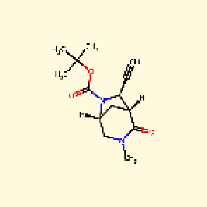 C#C[C@H]1[C@H]2C[C@H](CN(C)C2=O)N1C(=O)OC(C)(C)C